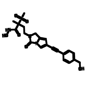 CC(CCN1Cc2cc(C#Cc3ccc(CO)cc3)cn2C1=O)(C(=O)NO)S(C)(=O)=O